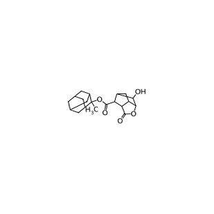 CC1(OC(=O)C2C3CC4C(OC(=O)C42)C3O)C2CC3CC(C2)CC1C3